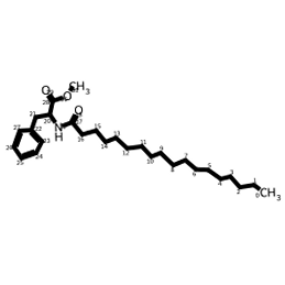 CCCCCCCCCCCCCCCCCC(=O)NC(Cc1ccccc1)C(=O)OC